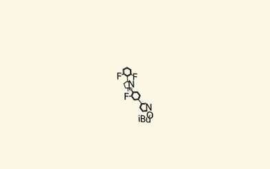 CCC(C)Oc1ccc(-c2ccc([C@H]3CCC(c4c(F)cccc4F)=N3)c(F)c2)cn1